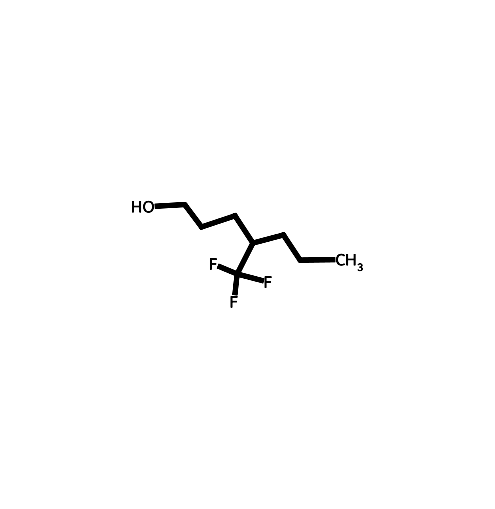 CCCC(CCCO)C(F)(F)F